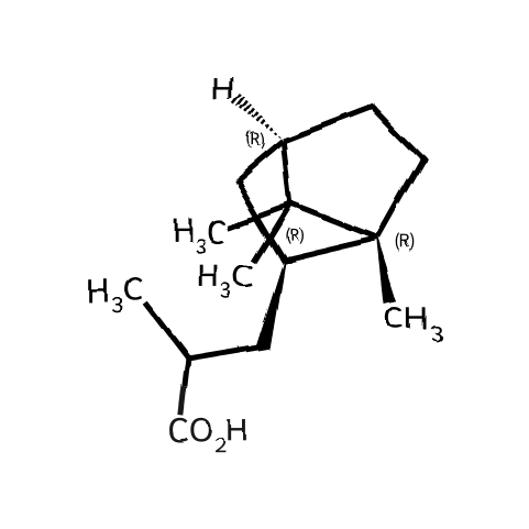 CC(C[C@H]1C[C@H]2CC[C@@]1(C)C2(C)C)C(=O)O